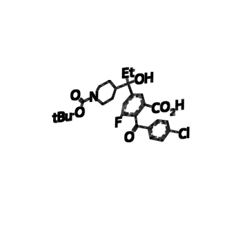 CCC(O)(c1cc(F)c(C(=O)c2ccc(Cl)cc2)c(C(=O)O)c1)C1CCN(C(=O)OC(C)(C)C)CC1